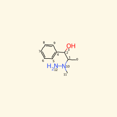 CC(C(O)c1ccccc1)N(C)N